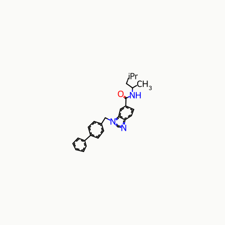 CC(C)CC(C)NC(=O)c1ccc2ncn(Cc3ccc(-c4ccccc4)cc3)c2c1